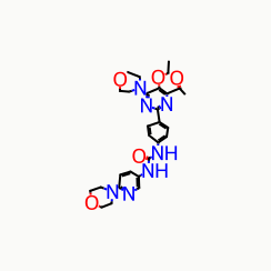 CCOc1c(C(C)=O)nc(-c2ccc(NC(=O)Nc3ccc(N4CCOCC4)nc3)cc2)nc1N1CCOCC1